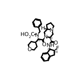 O=C(N[C@H]1c2ccccc2C[C@@H]1F)[C@@H]1CN2CCC[C@@H]2CN1C(=O)[C@H](C1CCOCC1)N(Cc1ccccc1)C(=O)O